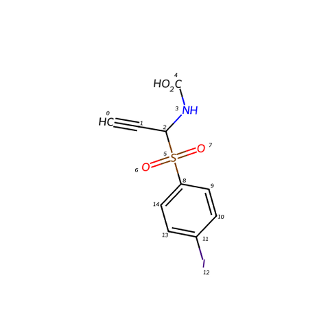 C#CC(NC(=O)O)S(=O)(=O)c1ccc(I)cc1